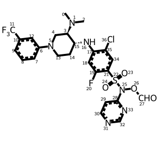 CN(C)[C@@H]1CN(c2cccc(C(F)(F)F)c2)CC[C@H]1Nc1cc(F)c(S(=O)(=O)N(OC=O)c2ccncn2)cc1Cl